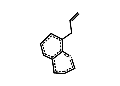 C=CCc1cccc2cccnc12